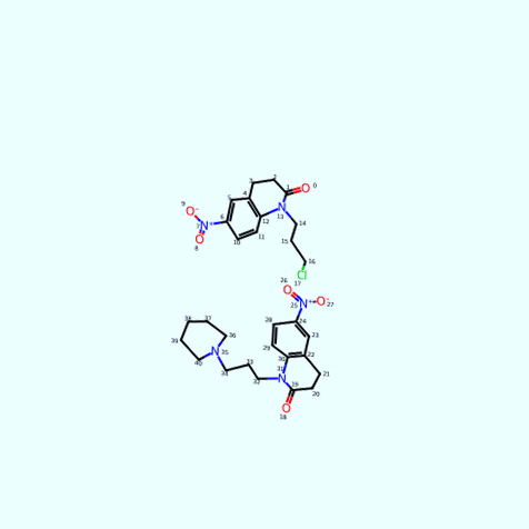 O=C1CCc2cc([N+](=O)[O-])ccc2N1CCCCl.O=C1CCc2cc([N+](=O)[O-])ccc2N1CCCN1CCCCC1